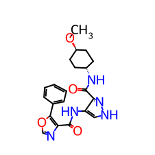 CO[C@H]1CC[C@H](NC(=O)c2n[nH]cc2NC(=O)c2ncoc2-c2ccccc2)CC1